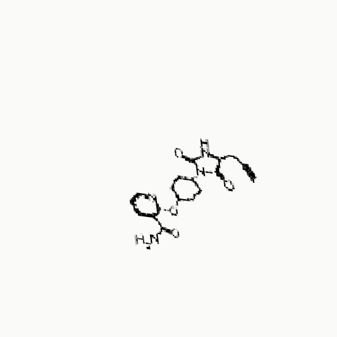 C#CCC1NC(=O)N([C@H]2CC[C@H](Oc3ncccc3C(N)=O)CC2)C1=O